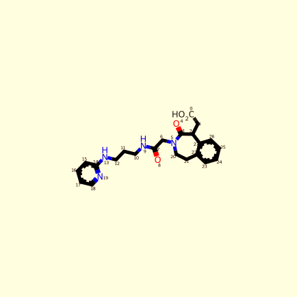 O=C(O)CC1C(=O)N(CC(=O)NCCCNc2ccccn2)CCc2ccccc21